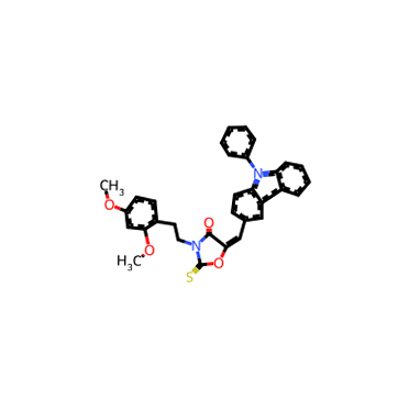 COc1ccc(CCN2C(=O)/C(=C\c3ccc4c(c3)c3ccccc3n4-c3ccccc3)OC2=S)c(OC)c1